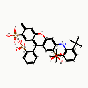 C=c1cc2c(cc1S(=O)(=O)O)=C(c1ccccc1S(=O)(=O)O)c1cc(S(=O)(=O)O)c(Nc3c(C(C)(C)C)cccc3C(C)(C)C)cc1O2